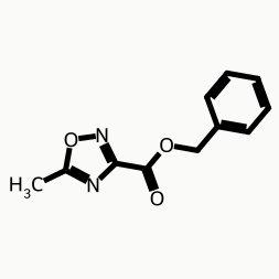 Cc1nc(C(=O)OCc2ccccc2)no1